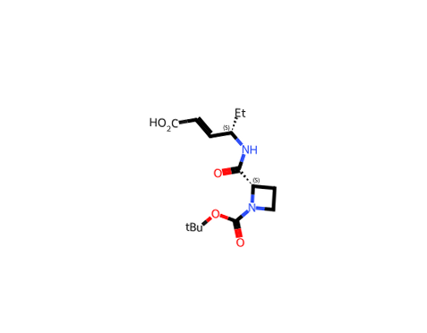 CC[C@@H](C=CC(=O)O)NC(=O)[C@@H]1CCN1C(=O)OC(C)(C)C